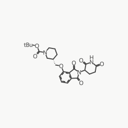 CC(C)(C)OC(=O)N1CCC[C@H](COc2cccc3c2C(=O)N(C2CCC(=O)NC2=O)C3=O)C1